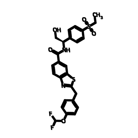 CCS(=O)(=O)c1ccc([C@H](CO)NC(=O)c2ccc3nc(Cc4ccc(OC(F)F)cc4)sc3c2)cc1